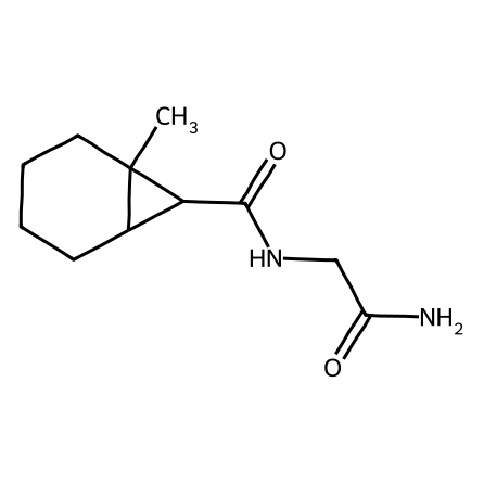 CC12CCCCC1C2C(=O)NCC(N)=O